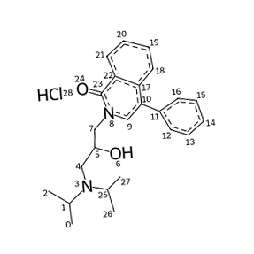 CC(C)N(CC(O)Cn1cc(-c2ccccc2)c2ccccc2c1=O)C(C)C.Cl